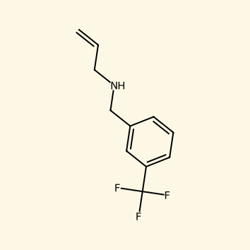 C=CCNCc1cccc(C(F)(F)F)c1